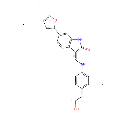 O=C1Nc2cc(-c3ccco3)ccc2/C1=C/Nc1ccc(CCO)cc1